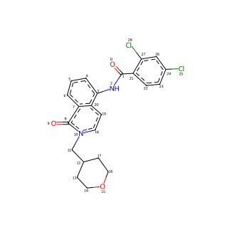 O=C(Nc1cccc2c(=O)n(CC3CCOCC3)ccc12)c1ccc(Cl)cc1Cl